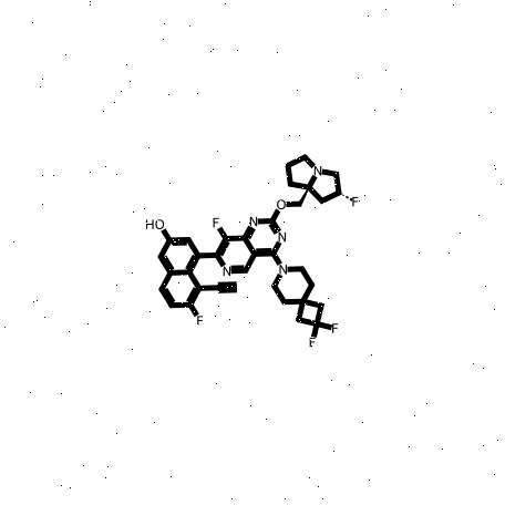 C#Cc1c(F)ccc2cc(O)cc(-c3ncc4c(N5CCC6(CC5)CC(F)(F)C6)nc(OC[C@@]56CCCN5C[C@H](F)C6)nc4c3F)c12